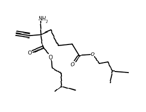 C#CC(N)(CCCC(=O)OCCC(C)C)C(=O)OCCC(C)C